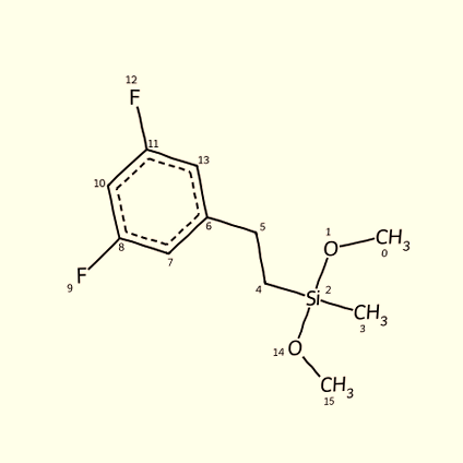 CO[Si](C)(CCc1cc(F)cc(F)c1)OC